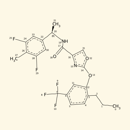 CCCc1ccc(C(F)(F)F)cc1Oc1nc(C(=O)N[C@H](C)c2cc(F)c(C)c(F)c2)co1